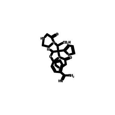 CCC(Oc1ccc(C(=N)N)cc1)C(c1cccs1)(C(C(=O)O)N1CCNCC1=O)N1CCNCC1=O